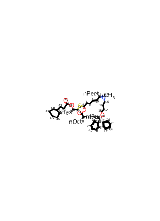 CCCCCCCCC(CCCCCC)C(=O)OC(CCCCC(CCCCC)N(C)CCCCO[Si](c1ccccc1)(c1ccccc1)C(C)(C)C)SC[C@H](CCCCCC)OC(=O)CCC1CCCCC1